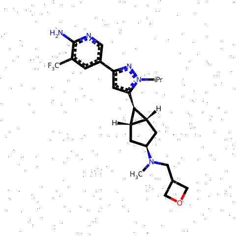 CC(C)n1nc(-c2cnc(N)c(C(F)(F)F)c2)cc1[C@H]1[C@@H]2C[C@@H](N(C)CC3COC3)C[C@@H]21